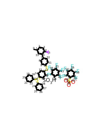 Cc1ccc(I)c(-c2ccc(Sc3ccc([S+](c4ccccc4)c4ccccc4)cc3)cc2)c1.O=S(=O)(O)c1c(F)c(F)c(F)c(F)c1F.O=S(=O)([O-])c1c(F)c(F)c(F)c(F)c1F